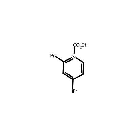 CCOC(=O)[si]1ccc(C(C)C)cc1C(C)C